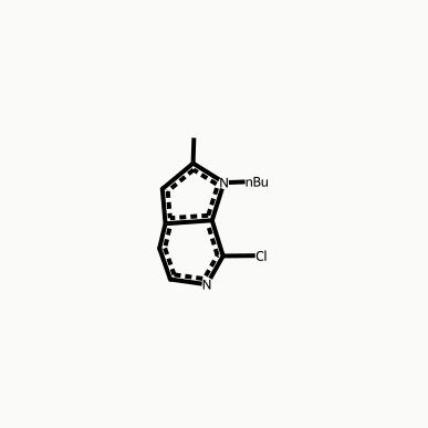 CCCCn1c(C)cc2ccnc(Cl)c21